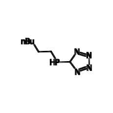 CCCCCCPC1N=NN=N1